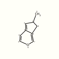 CC1C=C2C=COC=C2C1